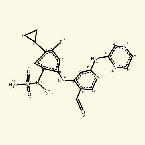 CN(c1cc(C2CC2)c(F)cc1Nc1cc(Nc2cnccn2)ncc1C=O)S(C)(=O)=O